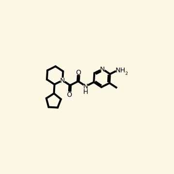 Cc1cc(NC(=O)C(=O)N2CCCCC2C2CCCC2)cnc1N